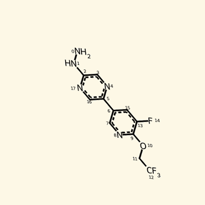 NNc1cnc(-c2cnc(OCC(F)(F)F)c(F)c2)cn1